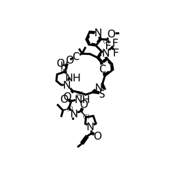 CC#CC(=O)N1CC[C@H](C(=O)N(C)[C@H](C(=O)N[C@H]2Cc3nc(cs3)-c3ccc4c(c3)c(c(-c3cccnc3[C@H](C)OC)n4C(F)(F)F)CC(C)(C)COC(=O)[C@@H]3CCCN(N3)C2=O)C(C)C)C1